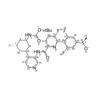 C[C@@H]1CC(NC(=O)OC(C)(C)C)CC(c2ccncc2NC(=O)c2ccc(F)c(-c3c(F)cc([S@@+](C)[O-])cc3F)n2)C1